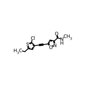 CCc1cc(C#Cc2cc(C(=O)NC)no2)c(Cl)s1